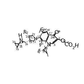 O=C(O)Oc1cn([C@@H]2C[C@@H]2F)c2c(F)c(N3C[C@H](CNC4CC4)[C@H](F)C3)c(F)cc2c1=O